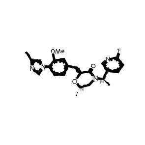 COc1cc(C=C2O[C@@H](C)CN([C@H](C)c3ccc(F)nc3)C2=O)ccc1-n1cnc(C)c1